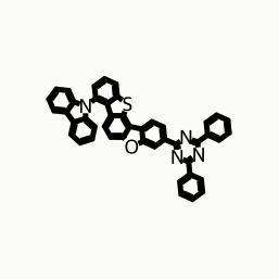 c1ccc(-c2nc(-c3ccccc3)nc(-c3ccc4c(c3)oc3ccc5c(sc6cccc(-n7c8ccccc8c8ccccc87)c65)c34)n2)cc1